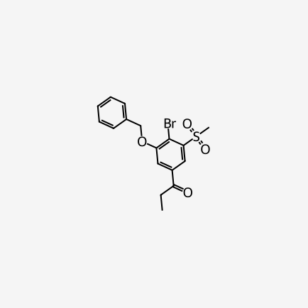 CCC(=O)c1cc(OCc2ccccc2)c(Br)c(S(C)(=O)=O)c1